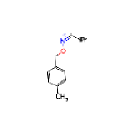 Cc1ccc(CO/N=[C]\C(C)C)cc1